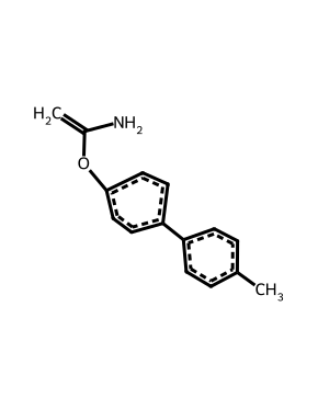 C=C(N)Oc1ccc(-c2ccc(C)cc2)cc1